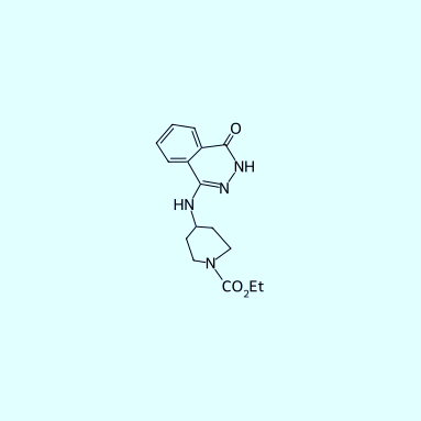 CCOC(=O)N1CCC(Nc2n[nH]c(=O)c3ccccc23)CC1